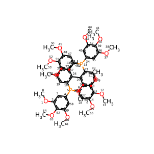 COc1cc(P(c2cc(OC)c(OC)c(OC)c2)c2cccc(C)c2-c2c(OC)cccc2P(c2cc(OC)c(OC)c(OC)c2)c2cc(OC)c(OC)c(OC)c2)cc(OC)c1OC